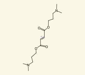 CN(C)CCCOC(=O)/C=C/C(=O)OCCCN(C)C